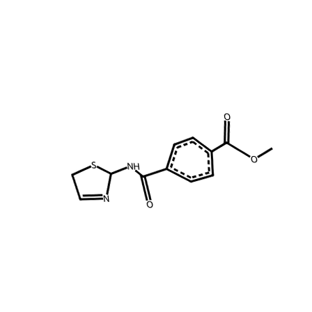 COC(=O)c1ccc(C(=O)NC2N=CCS2)cc1